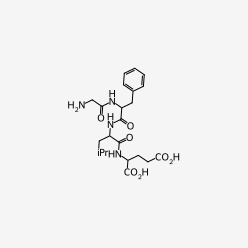 CC(C)CC(NC(=O)C(Cc1ccccc1)NC(=O)CN)C(=O)NC(CCC(=O)O)C(=O)O